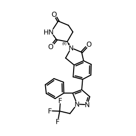 O=C1CC[C@@H](N2Cc3cc(-c4cnn(CC(F)(F)F)c4-c4ccccc4)ccc3C2=O)C(=O)N1